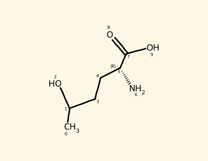 CC(O)CC[C@@H](N)C(=O)O